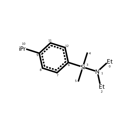 CCN(CC)[Si](C)(C)c1ccc(C(C)C)cc1